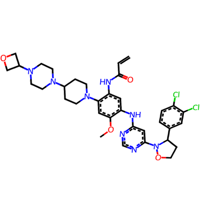 C=CC(=O)Nc1cc(Nc2cc(N3OCCC3c3ccc(Cl)c(Cl)c3)ncn2)c(OC)cc1N1CCC(N2CCN(C3COC3)CC2)CC1